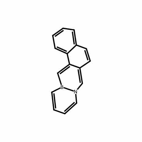 C1=CB2C=c3c(ccc4ccccc34)=CN2C=C1